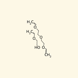 C=COCCO.C=COCCOCCOC=C